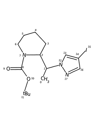 CC(C1CCCCN1C(=O)OC(C)(C)C)n1cc(I)cn1